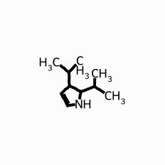 CC(C)C1C=CNC1C(C)C